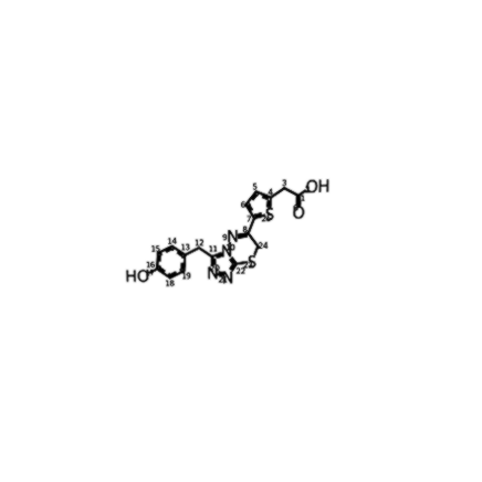 O=C(O)Cc1ccc(C2=Nn3c(Cc4ccc(O)cc4)nnc3SC2)s1